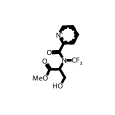 COC(=O)C(CO)N(C(=O)c1ccccn1)C(F)(F)F